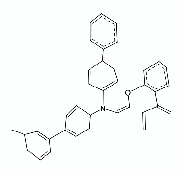 C=CC(=C)c1ccccc1O/C=C\N(C1=CCC(c2ccccc2)C=C1)C1C=CC(C2=CC(C)CC=C2)=CC1